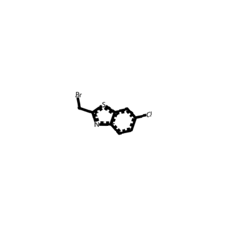 Clc1ccc2nc(CBr)sc2c1